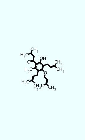 CC(C)=CCOc1c(CC=C(C)C)c(C)c(C(=O)CC(C)C)c(O)c1CC=C(C)C